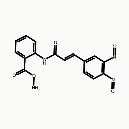 NOC(=O)c1ccccc1NC(=O)/C=C/c1ccc(N=O)c(N=O)c1